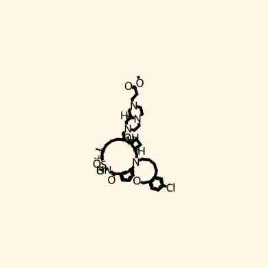 COC(=O)CCN1CCN2CCN(C[C@]3(O)CCC[C@H](C)[C@@H](C)S(=O)(=O)NC(=O)c4ccc5c(c4)N(CCCCc4cc(Cl)ccc4CO5)C[C@@H]4CC[C@H]43)C[C@H]2C1